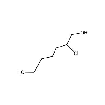 OCCCCC(Cl)CO